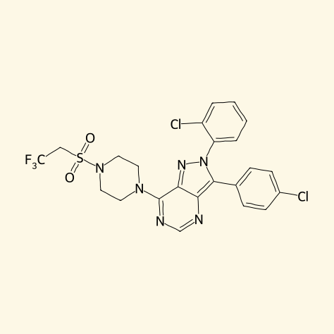 O=S(=O)(CC(F)(F)F)N1CCN(c2ncnc3c(-c4ccc(Cl)cc4)n(-c4ccccc4Cl)nc23)CC1